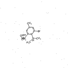 COC.Cc1cc(Br)c([SiH](C)C)c(C(C)(C)C)c1